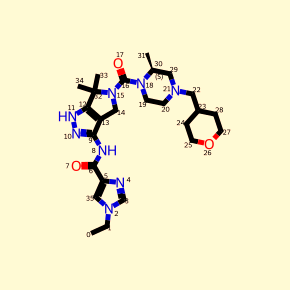 CCn1cnc(C(=O)Nc2n[nH]c3c2CN(C(=O)N2CCN(CC4CCOCC4)C[C@@H]2C)C3(C)C)c1